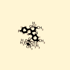 CC(C)c1nc2c(c(I)c1[C@H](O)c1ccc(F)cc1)[C@@H](O[Si](C)(C)C(C)(C)C)CC(C)(C)C2